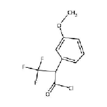 COc1cccc(C(C(=O)Cl)C(F)(F)F)c1